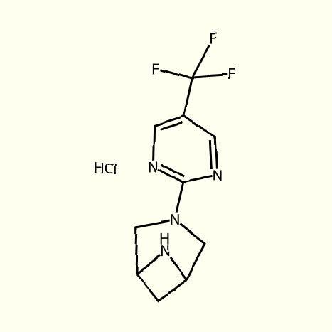 Cl.FC(F)(F)c1cnc(N2CC3CC(C2)N3)nc1